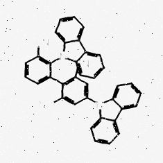 N#Cc1cc(-n2c3ccccc3c3ccccc32)cc(C#N)c1-c1cccc(C#N)c1-n1c2ccccc2c2ccccc21